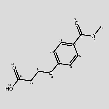 COC(=O)c1ccc(OCCC(=O)O)cc1